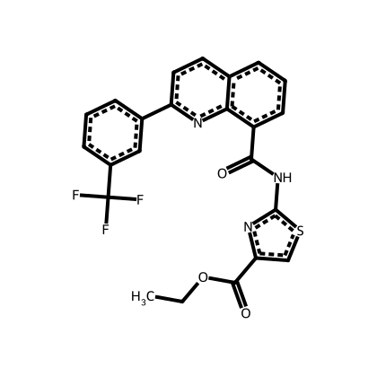 CCOC(=O)c1csc(NC(=O)c2cccc3ccc(-c4cccc(C(F)(F)F)c4)nc23)n1